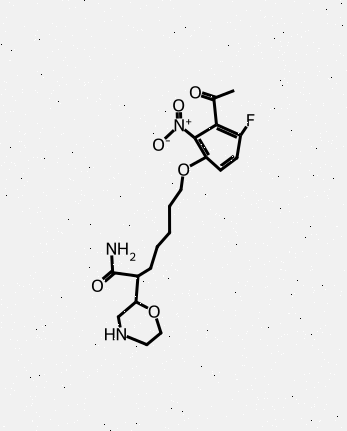 CC(=O)c1c(F)ccc(OCCCCCC(C(N)=O)C2CNCCO2)c1[N+](=O)[O-]